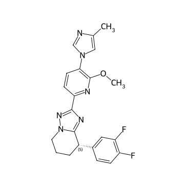 COc1nc(-c2nc3n(n2)CCC[C@H]3c2ccc(F)c(F)c2)ccc1-n1cnc(C)c1